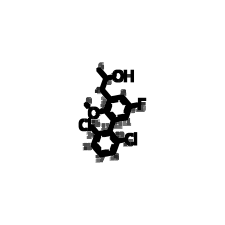 COc1c(CC(C)O)cc(F)cc1-c1c(Cl)cccc1Cl